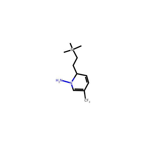 C[Si](C)(C)CCC1C=CC(C(F)(F)F)=CN1N